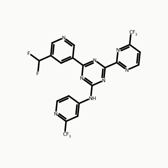 FC(F)c1cncc(-c2nc(Nc3ccnc(C(F)(F)F)c3)nc(-c3nccc(C(F)(F)F)n3)n2)c1